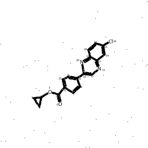 O=C(OC1CC1)c1ccc(-c2cnc3cc(Cl)ccc3n2)cc1